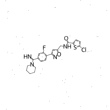 N=C(c1ccc(-c2cc(CNC(=O)c3ccc(Cl)s3)on2)c(F)c1)N1CCCCC1